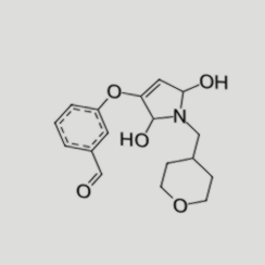 O=Cc1cccc(OC2=CC(O)N(CC3CCOCC3)C2O)c1